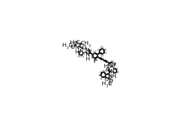 COC(=O)N[C@H](C(=O)N1CCC[C@H]1c1ncc(-c2cc(F)c(C#CC#Cc3cnc([C@@H]4CCCN4C(=O)[C@H](NC(=O)OC)c4ccccc4)[nH]3)c(-c3ccccc3)c2)[nH]1)C(C)C